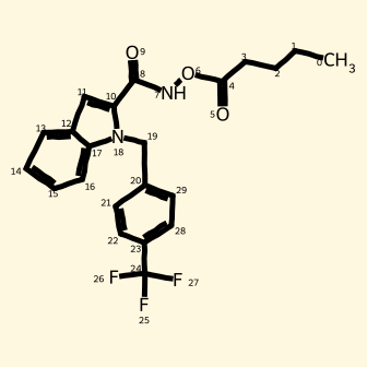 CCCCC(=O)ONC(=O)c1cc2ccccc2n1Cc1ccc(C(F)(F)F)cc1